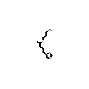 CC(CCCn1cncn1)OCCCO